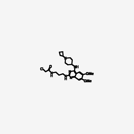 COc1cc2nc(NCCCNC(=O)CCl)nc(NC3CCN(C4CCC4)CC3)c2cc1OC